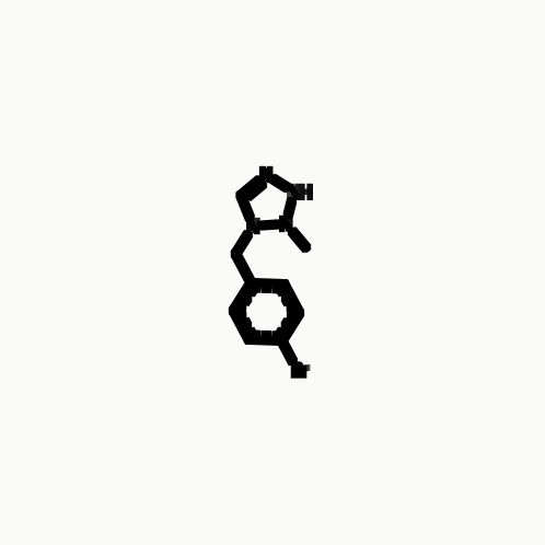 CN1NN=CN1Cc1ccc(Br)cc1